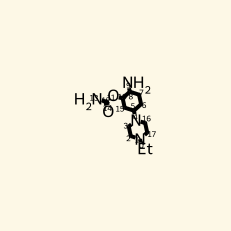 CCN1CCN(C2CCC(N)C(OC(N)=O)C2)CC1